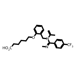 C=C(C)N(Cc1ccccc1OCCCCCC(=O)O)/C(=N\C)c1ccc(C(F)(F)F)cc1